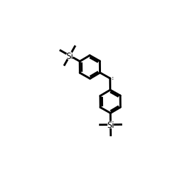 C[Si](C)(C)c1ccc([C]c2ccc([Si](C)(C)C)cc2)cc1